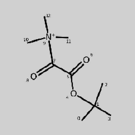 CC(C)(C)OC(=O)C(=O)[N+](C)(C)C